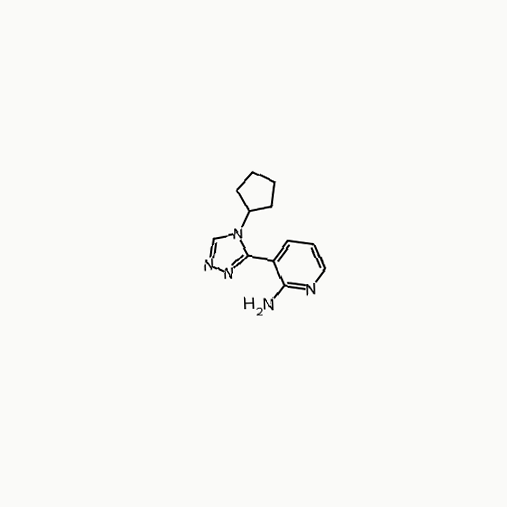 Nc1ncccc1-c1nncn1C1CCCC1